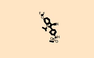 CCS(=O)(=O)Nc1ccc(-c2c(C#N)c3ccc(OC(F)F)cc3n2C(C)C)cc1